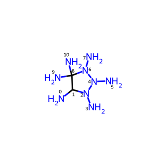 NC1N(N)N(N)N(N)C1(N)N